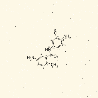 Cc1ccc(N)cc1C(=O)Nc1cnc(N)c(Cl)c1